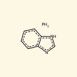 P.c1ccc2[nH]cnc2c1